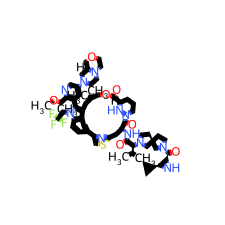 CO[C@@H](C)c1ncc(N2CCN3CCOC[C@@H]3C2)cc1-c1c2c3cc(ccc3n1CC(F)(F)F)-c1csc(n1)C[C@H](NC(=O)[C@H](C(C)C)N1CC[C@]3(CCN(C(=O)[C@@H]4N[C@@H]4C4CC4)C3)C1)C(=O)N1CCC[C@H](N1)C(=O)OCC(C)(C)C2